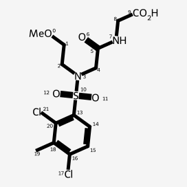 COCCN(CC(=O)NCC(=O)O)S(=O)(=O)c1ccc(Cl)c(C)c1Cl